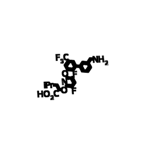 CC(C)C[C@@H](Oc1nc(Oc2cc(-c3cccc(CN)c3)cc(C(F)(F)F)c2)c(F)cc1F)C(=O)O